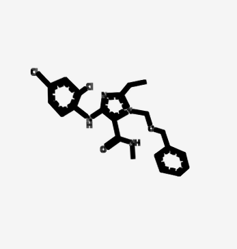 CCc1nc(Nc2ccc(Cl)cc2Cl)c(C(=O)NC)n1COCc1ccccc1